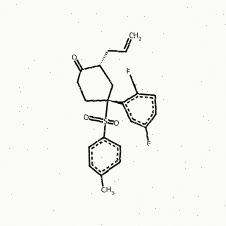 C=CC[C@@H]1C[C@](c2cc(F)ccc2F)(S(=O)(=O)c2ccc(C)cc2)CCC1=O